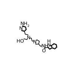 Nc1ccc(CCN(CCO)CCN2CCC(CNC(=O)c3cc4ccccc4[nH]3)C2)cn1